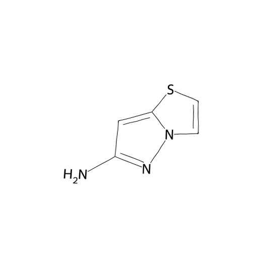 Nc1cc2sccn2n1